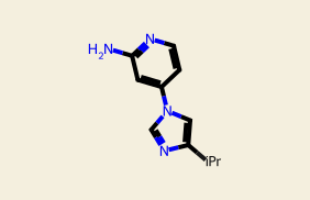 CC(C)c1cn(-c2ccnc(N)c2)cn1